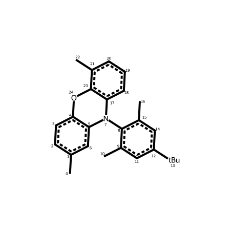 Cc1ccc2c(c1)N(c1c(C)cc(C(C)(C)C)cc1C)c1cccc(C)c1O2